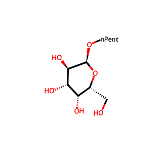 CCCCCO[C@H]1O[C@H](CO)[C@H](O)[C@H](O)[C@H]1O